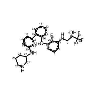 OC(CNc1cccc(Oc2ncccc2-c2ccnc(N[C@@H]3CCCNC3)n2)c1F)C(F)(F)F